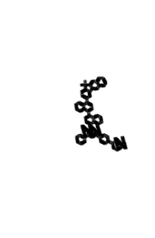 CC1(C)c2ccc(-c3ccc(-c4ccc(-c5nc(-c6ccccc6)cc(-c6ccc(-c7cccnc7)cc6)n5)c5ccccc45)c4ccccc34)cc2-c2cc3ccccc3cc21